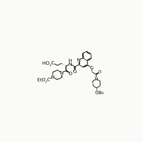 CCOC(=O)N1CCN(C(=O)[C@H](CCC(=O)O)NC(=O)c2cc(OCC(=O)N3CCC(OCC(C)C)CC3)c3ccccc3n2)CC1